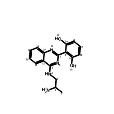 CC(N)CNc1nc(-c2c(O)cccc2O)nc2ccccc12